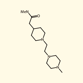 CNC(=O)CC1CCN(CCN2CCN(C)CC2)CC1